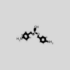 C#CP(OCc1ccc(N)cc1)OCc1ccc(N)cc1